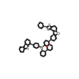 c1ccc(-c2nc3c(ccc4oc5ccc(-c6ccc(N(c7ccc(-c8cccc9c8sc8ccccc89)cc7)c7ccccc7-c7ccccc7)cc6)cc5c43)s2)cc1